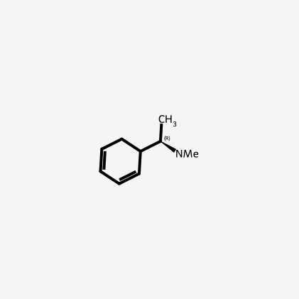 CN[C@H](C)C1C=CC=CC1